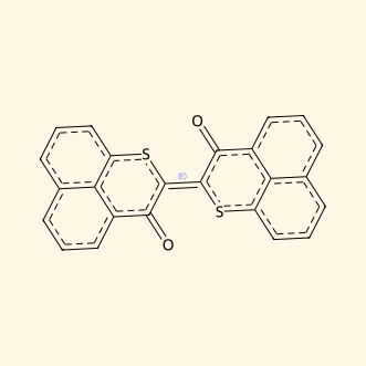 O=c1/c(=c2\sc3cccc4cccc(c2=O)c43)sc2cccc3cccc1c32